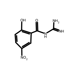 N=C(N)NC(=O)c1cc([N+](=O)[O-])ccc1O